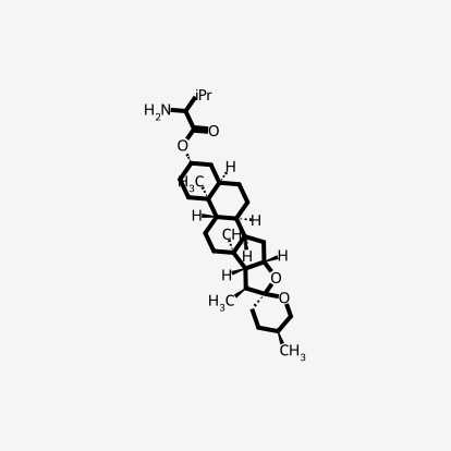 CC(C)C(N)C(=O)O[C@H]1CC[C@@]2(C)[C@H](CC[C@@H]3[C@@H]2CC[C@]2(C)[C@@H]4[C@H](C[C@@H]32)O[C@]2(CC[C@H](C)CO2)[C@H]4C)C1